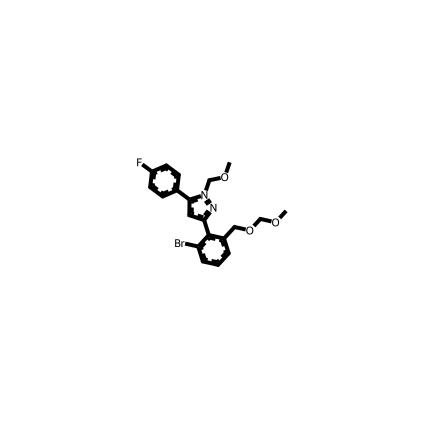 COCOCc1cccc(Br)c1-c1cc(-c2ccc(F)cc2)n(COC)n1